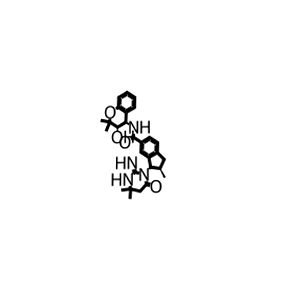 C[C@@H]1Cc2ccc(C(=O)N[C@@H]3c4ccccc4OC(C)(C)[C@H]3O)cc2[C@@H]1N1C(=N)NC(C)(C)CC1=O